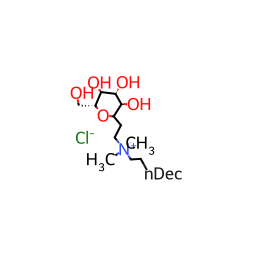 CCCCCCCCCCCC[N+](C)(C)CCC1O[C@H](CO)[C@@H](O)[C@H](O)[C@H]1O.[Cl-]